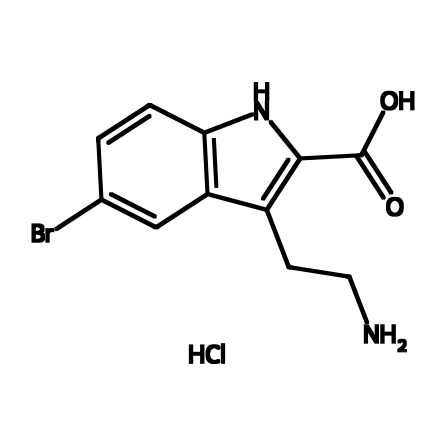 Cl.NCCc1c(C(=O)O)[nH]c2ccc(Br)cc12